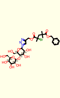 CC(C)(CC(C)(Br)C(=O)OCc1cn(C2O[C@H](CO)[C@@H](O[C@@H]3O[C@H](CO)[C@H](O)[C@H](O)[C@H]3O)[C@H](O)[C@H]2O)nn1)C(=O)OCc1ccccc1